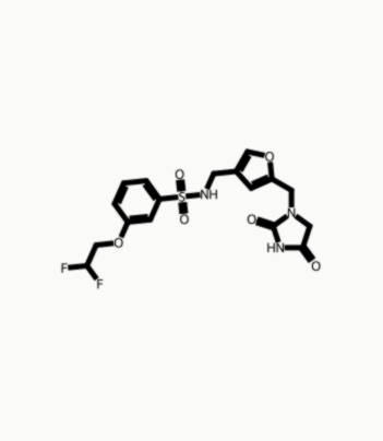 O=C1CN(Cc2cc(CNS(=O)(=O)c3cccc(OCC(F)F)c3)co2)C(=O)N1